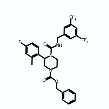 Cc1cc(F)ccc1C1CN(C(=O)OCc2ccccc2)CCN1C(=O)NCc1cc(C(F)(F)F)cc(C(F)(F)F)c1